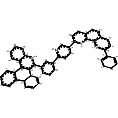 C1=CC2c3ccccc3-c3c(c(-c4cccc(-c5ccc(-c6ccc7ccc8ccc(C9=CCCC=C9)nc8c7n6)cn5)c4)nc4ccccc34)C2C=C1